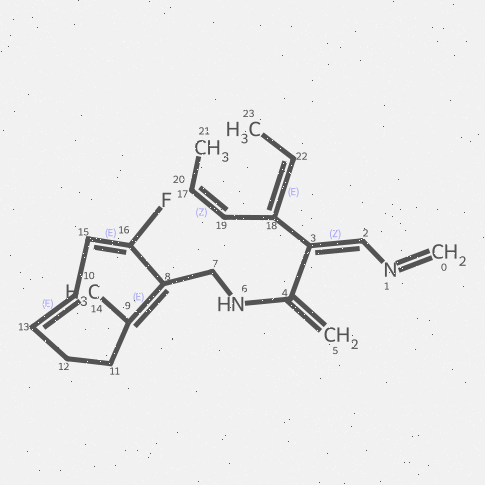 C=N/C=C(C(=C)NCC1=C(/C)CC/C=C/C=C\1F)/C(/C=C\C)=C/C